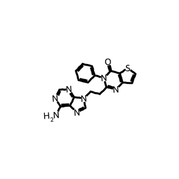 Nc1ncnc2c1ncn2CCc1nc2ccsc2c(=O)n1-c1ccccc1